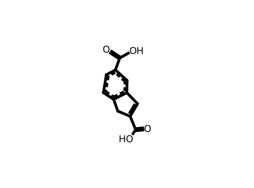 O=C(O)C1=Cc2cc(C(=O)O)ccc2C1